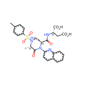 Cc1ccc(S(=O)(=O)N[C@@H](C)C(=O)N(c2ccc3ccccc3n2)[C@H](C(=O)N[C@@H](CC(=O)O)C(=O)O)C(C)C)cc1